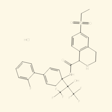 CCS(=O)(=O)c1ccc2c(c1)CCNC2C(=O)NC1(C(O)(C(F)(F)F)C(F)(F)F)C=CC(c2ccccc2F)=CC1.Cl